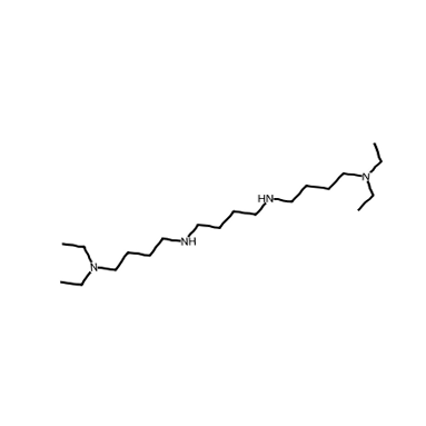 CCN(CC)CCCCNCCCCNCCCCN(CC)CC